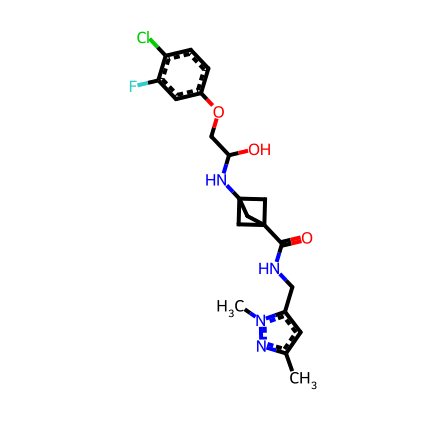 Cc1cc(CNC(=O)C23CC(NC(O)COc4ccc(Cl)c(F)c4)(C2)C3)n(C)n1